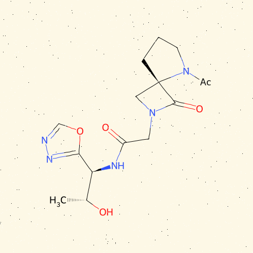 CC(=O)N1CCC[C@@]12CN(CC(=O)N[C@H](c1nnco1)[C@@H](C)O)C2=O